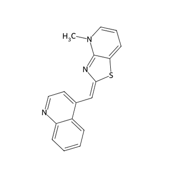 CN1C=CC=c2sc(=Cc3ccnc4ccccc34)nc21